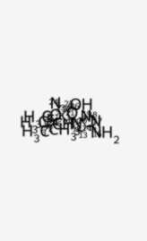 CC(C)(C)[Si](C)(C)O[C@H]1C[C@H](n2ccc3c(N)ncnc32)O[C@]1(C#N)CO